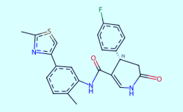 Cc1nc(-c2ccc(C)c(NC(=O)C3=CNC(=O)C[C@H]3c3ccc(F)cc3)c2)cs1